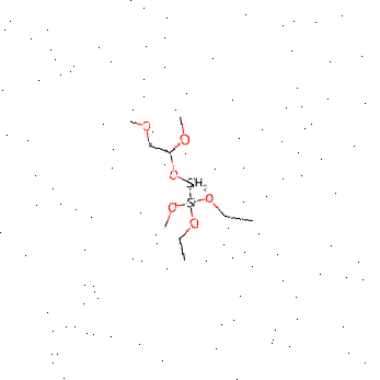 CCO[Si](OC)(OCC)[SiH2]OC(COC)OC